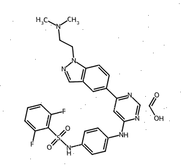 CN(C)CCn1ncc2cc(-c3cc(Nc4ccc(NS(=O)(=O)c5c(F)cccc5F)cc4)ncn3)ccc21.O=CO